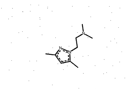 Cc1cc(C)n(CCN(C)C)n1